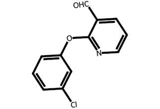 O=Cc1cccnc1Oc1cccc(Cl)c1